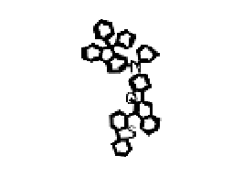 c1ccc(N(c2ccc3c(c2)C(c2ccccc2)(c2ccccc2)c2ccccc2-3)c2ccc3c(c2)oc2c(-c4cccc5c4sc4ccccc45)c4ccccc4cc23)cc1